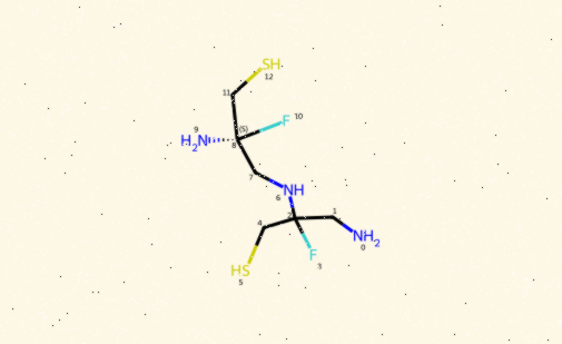 NCC(F)(CS)NC[C@](N)(F)CS